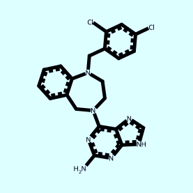 Nc1nc(N2CCN(Cc3ccc(Cl)cc3Cl)c3ccccc3C2)c2nc[nH]c2n1